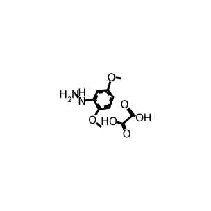 COc1ccc(OC)c(NN)c1.O=C(O)C(=O)O